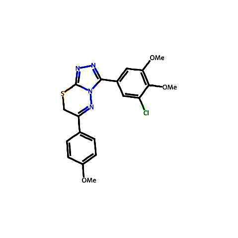 COc1ccc(C2=Nn3c(nnc3-c3cc(Cl)c(OC)c(OC)c3)SC2)cc1